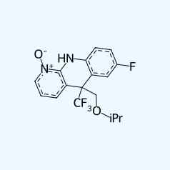 CC(C)OCC1(C(F)(F)F)c2cc(F)ccc2Nc2c1ccc[n+]2[O-]